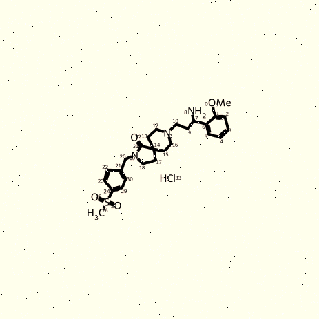 COc1ccccc1C(N)CCN1CCC2(CC1)CCN(Cc1ccc(S(C)(=O)=O)cc1)C2=O.Cl